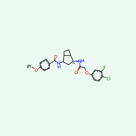 CC(C)Oc1ccc(C(=O)NC2C[C@H](NC(=O)COc3ccc(Cl)c(F)c3)C3CCC23)cc1